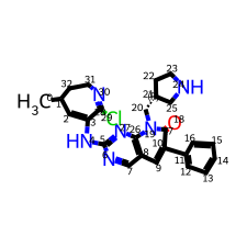 CC1C=C(Nc2ncc3cc(-c4ccccc4)c(=O)n(C[C@@H]4CCNC4)c3n2)C(Cl)=NCC1